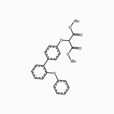 CC(C)(C)OC(=O)C(Oc1ccc(-c2ccccc2Sc2ccccc2)cc1)C(=O)OC(C)(C)C